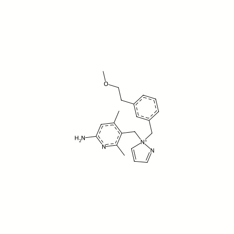 COCCc1cccc(C[N+]2(Cc3c(C)cc(N)nc3C)C=CC=N2)c1